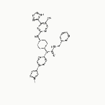 Cn1cc(-c2ccc(N(C(=O)NCc3ccccc3)C3CCC(Nc4ncc(C#N)c(-c5ncc[nH]5)n4)CC3)nc2)cn1